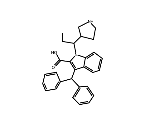 CCC(C1CCNC1)n1c(C(=O)O)c(C(c2ccccc2)c2ccccc2)c2ccccc21